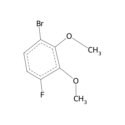 COc1c(F)ccc(Br)c1OC